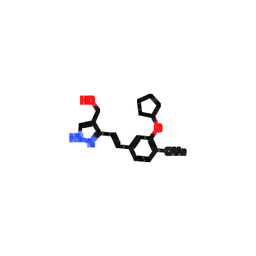 COc1ccc(C=Cc2n[nH]cc2CO)cc1OC1CCCC1